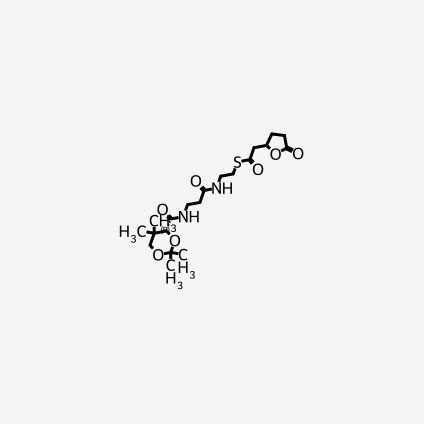 CC1(C)OCC(C)(C)[C@H](C(=O)NCCC(=O)NCCSC(=O)CC2CCC(=O)O2)O1